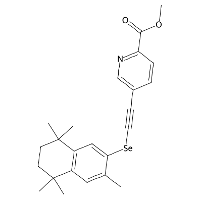 COC(=O)c1ccc(C#C[Se]c2cc3c(cc2C)C(C)(C)CCC3(C)C)cn1